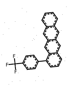 FC(F)(F)c1ccc(-c2cccc3cc4cc5ccccc5cc4cc23)cc1